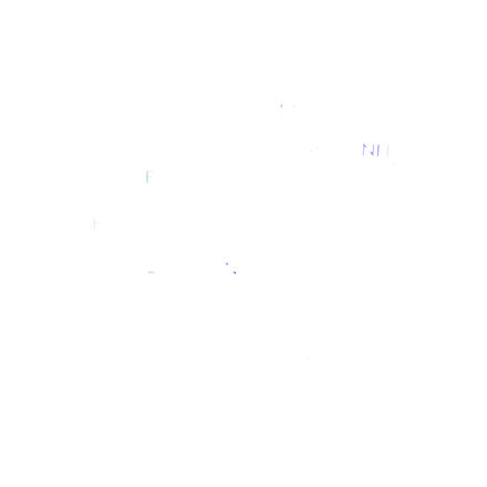 NC(=O)c1cc(C2CC2)nc(C(F)(F)F)c1